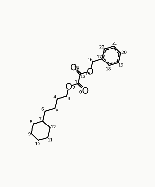 O=C(OCCCCC1CCCCC1)C(=O)OCc1ccccc1